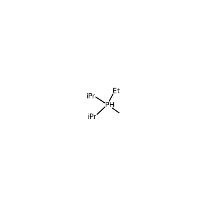 CC[PH](C)(C(C)C)C(C)C